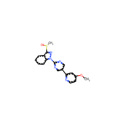 COc1ccnc(-c2cnc(-n3nc([S+](C)[O-])c4cc[c]cc43)nc2)c1